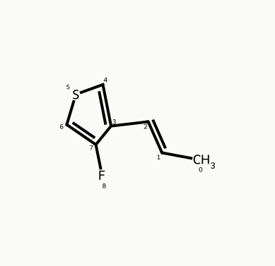 CC=Cc1cscc1F